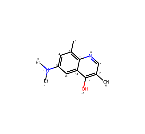 CCN(CC)c1cc(C)c2ncc(C#N)c(O)c2c1